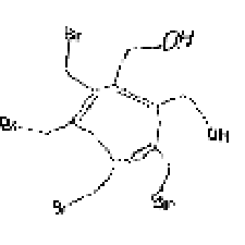 OCc1c(CO)c(CBr)c(CBr)c(CBr)c1CBr